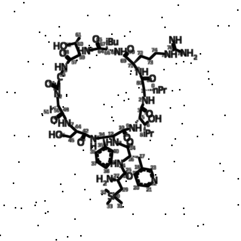 CCC[C@@H]1NC(=O)[C@H]([C@H](O)C(C)C)NC(=O)[C@@H](NC(=O)[C@H](Cc2cccnc2)NC(=O)[C@H](N)C[Si](C)(C)C)[C@@H](c2ccccc2)NC(=O)C(CO)NC(=O)[C@H](I)NC(=O)CNC(=O)[C@H]([C@H](C)O)NC(=O)[C@H]([C@@H](C)CC)NC(=O)[C@@H](CCCNC(=N)N)NC1=O